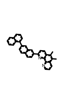 Cc1c(C)c2ccc(-c3ccc4ccc(-c5cccc6ccccc56)cc4c3)nc2c2ncccc12